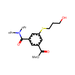 CCCN(CCC)C(=O)c1cc(SCCCO)cc(C(=O)OC)c1